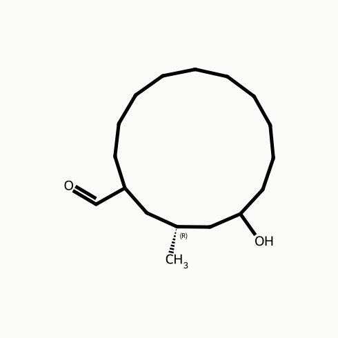 C[C@H]1CC(O)CCCCCCCCCCC(C=O)C1